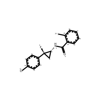 O=C(N[C@@H]1C[C@]1(F)c1ccc(Cl)cc1)c1ccccc1I